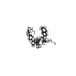 COc1ccc(-c2cccc(C(=O)NCCC(c3ccc4ccccc4c3)N(C)C)c2)cc1